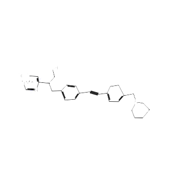 CN/C=N\C(=C/C=O)C(CO)Cc1ccc(C#CC2=CC=C(CN3CCCCC3)CC2)cc1